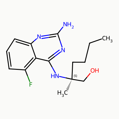 CCCC[C@@](C)(CO)Nc1nc(N)nc2cccc(F)c12